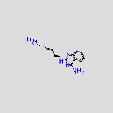 NCCC=CCCNc1nc(N)c2ccccc2n1